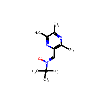 Cc1nc(C)c(/C=[N+](\[O-])C(C)(C)C)nc1C